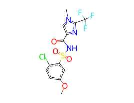 COc1ccc(Cl)c(S(=O)(=O)NC(=O)c2cn(C)c(C(F)(F)F)n2)c1